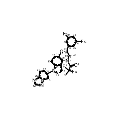 C[C@H](NC(=O)C(C)(F)F)[C@H](Oc1ccc2c(cnn2-c2ccc3ncnn3c2)c1)c1cc(F)cc(F)c1